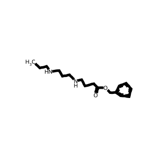 CCCNCCCNCCCC(=O)OCc1ccccc1